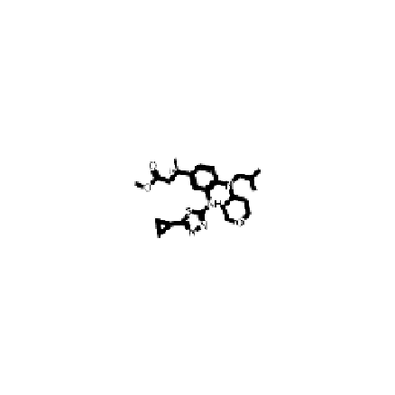 COC(=O)C[C@@H](C)c1ccc(N(CC(C)C)C2CCOCC2)c(Nc2nnc(C3CC3)s2)c1